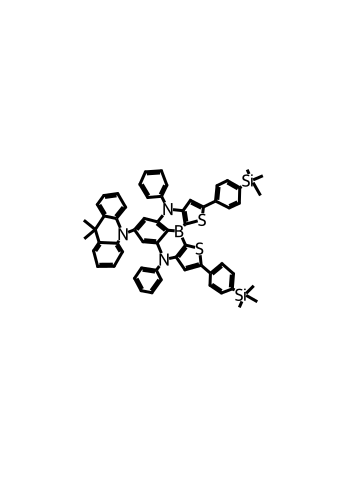 CC1(C)c2ccccc2N(c2cc3c4c(c2)N(c2ccccc2)c2cc(-c5ccc([Si](C)(C)C)cc5)sc2B4c2sc(-c4ccc([Si](C)(C)C)cc4)cc2N3c2ccccc2)c2ccccc21